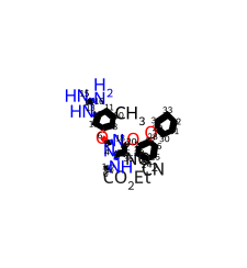 CCOC(=O)CNc1nc(Oc2cc(C)cc(NC(=N)N)c2)nc(Oc2cc(C#N)ccc2Oc2ccccc2)c1[N+](=O)[O-]